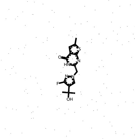 Cc1cc2c(=O)[nH]c(Cn3cc(C(C)(C)O)c(F)n3)nc2s1